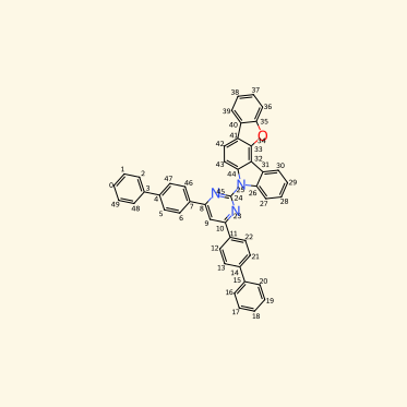 c1ccc(-c2ccc(-c3cc(-c4ccc(-c5ccccc5)cc4)nc(-n4c5ccccc5c5c6oc7ccccc7c6ccc54)n3)cc2)cc1